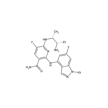 CC[C@H](N)[C@@H](C)Nc1nc(Nc2cc(F)cc3c2cnn3CC)c(C(N)=O)cc1F